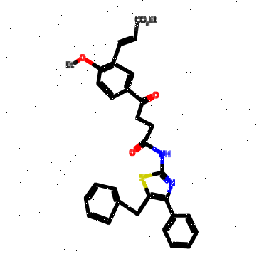 CCOC(=O)/C=C/c1cc(C(=O)CCC(=O)Nc2nc(-c3ccccc3)c(Cc3ccccc3)s2)ccc1OCC